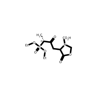 CCOP(=O)(OCC)[C@H](C)C(=O)CC1C(=O)OCN1C(=O)O